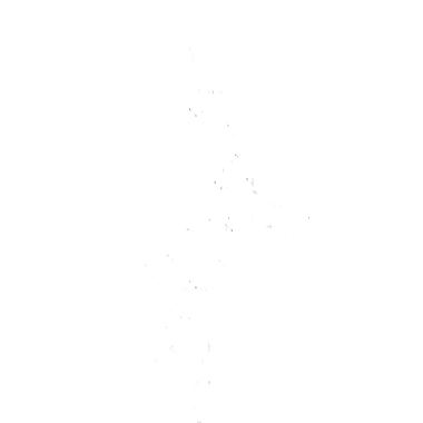 O=C(CC(F)(F)F)Nc1ccc2c(c1)nc(CN1CCC(c3cccc(OCc4ccc(Cl)cc4F)n3)CC1)n2CC1CCO1